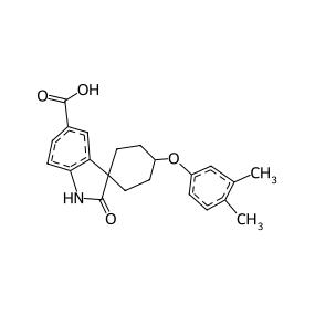 Cc1ccc(OC2CCC3(CC2)C(=O)Nc2ccc(C(=O)O)cc23)cc1C